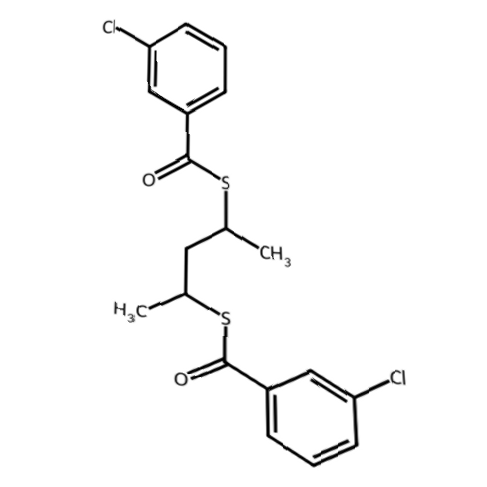 CC(CC(C)SC(=O)c1cccc(Cl)c1)SC(=O)c1cccc(Cl)c1